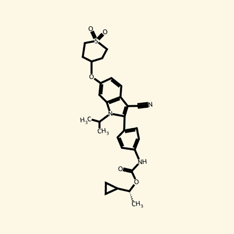 CC(C)n1c(-c2ccc(NC(=O)O[C@H](C)C3CC3)cc2)c(C#N)c2ccc(OC3CCS(=O)(=O)CC3)cc21